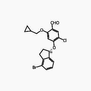 O=Cc1cc(Cl)c(O[C@H]2CCc3c(Br)cccc32)cc1OCC1CC1